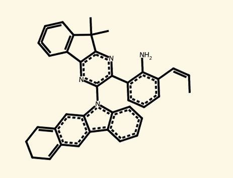 C/C=C\c1cccc(-c2nc3c(nc2-n2c4ccccc4c4cc5c(cc42)=CCCC=5)C2=C(C=C=C=C2)C3(C)C)c1N